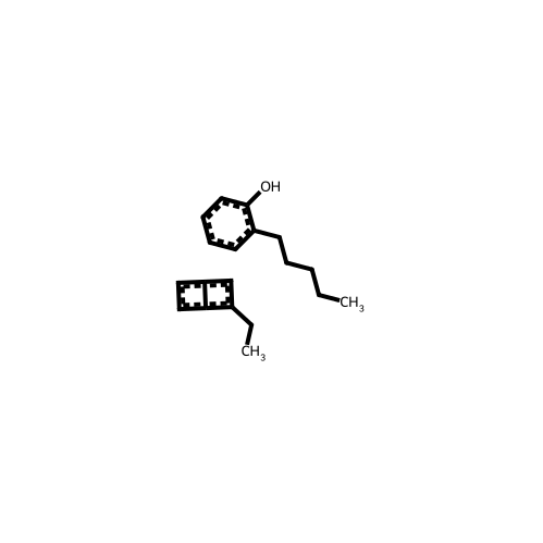 CCCCCc1ccccc1O.CCc1cc2ccc1-2